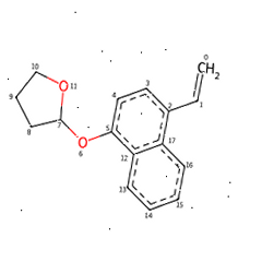 C=Cc1ccc(OC2CCCO2)c2ccccc12